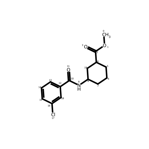 COC(=O)C1CCCC(NC(=O)c2cccc(Cl)c2)C1